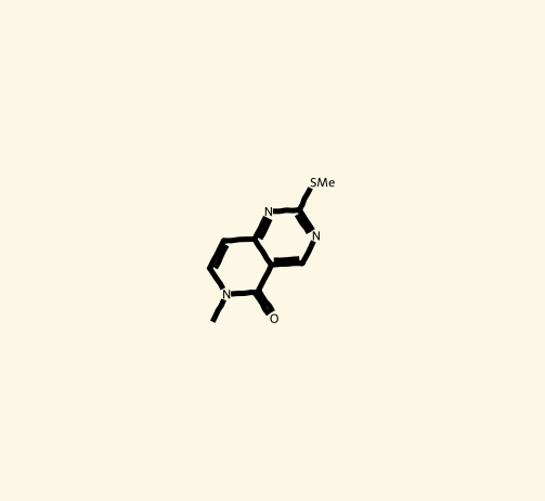 CSc1ncc2c(=O)n(C)ccc2n1